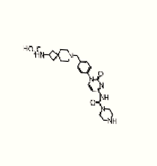 O=C(O)NC1CC2(CCN(Cc3ccc(-n4ccc(NC(=O)N5CCNCC5)nc4=O)cc3)CC2)C1